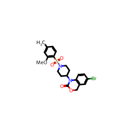 COc1cc(C)ccc1S(=O)(=O)N1CCC(N2C(=O)OCc3cc(Br)ccc32)CC1